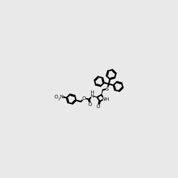 O=C(N[C@@H]1C(=O)N[C@@H]1CSC(c1ccccc1)(c1ccccc1)c1ccccc1)OCc1ccc([N+](=O)[O-])cc1